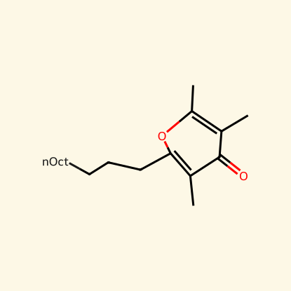 CCCCCCCCCCCc1oc(C)c(C)c(=O)c1C